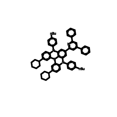 CCCCc1ccc(N2c3ccc(C4CCCCC4)cc3B3c4cc(C5CCCCC5)ccc4N(c4ccc(CCCC)cc4)c4cc(-c5cc(-c6ccccc6)cc(-c6ccccc6)n5)cc2c43)cc1